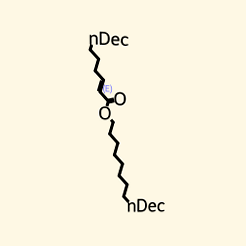 CCCCCCCCCCCCC/C=C/C(=O)OCCCCCCCCCCCCCCCCCC